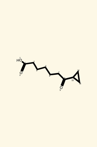 O=C(O)CCCCCC(=O)C1CC1